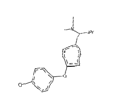 CC(C)C(c1ccc(Oc2ccc(Cl)cc2)cc1)N(C)C